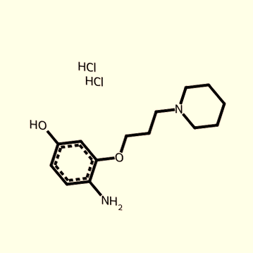 Cl.Cl.Nc1ccc(O)cc1OCCCN1CCCCC1